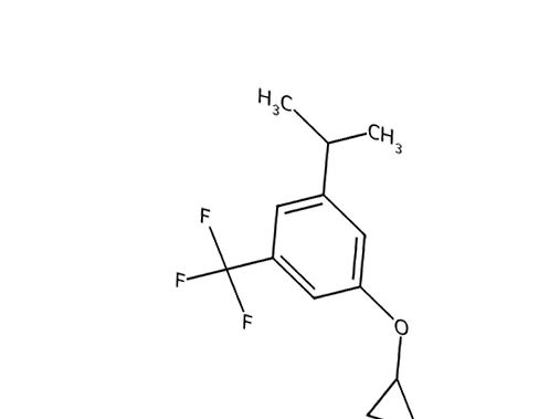 CC(C)c1cc(OC2CC2)cc(C(F)(F)F)c1